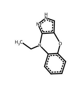 CCN1c2ccccc2Oc2c[nH]nc21